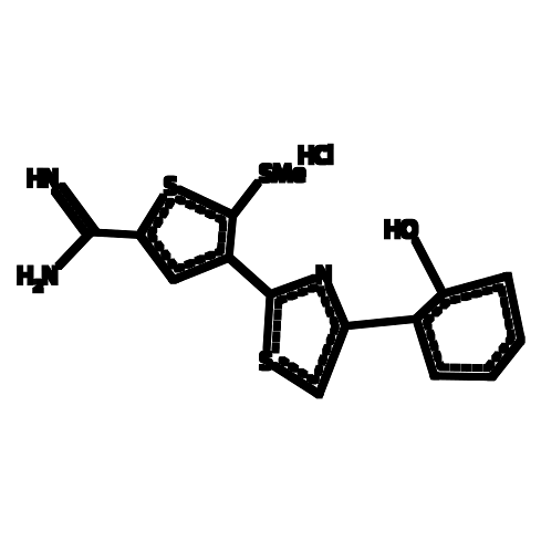 CSc1sc(C(=N)N)cc1-c1nc(-c2ccccc2O)cs1.Cl